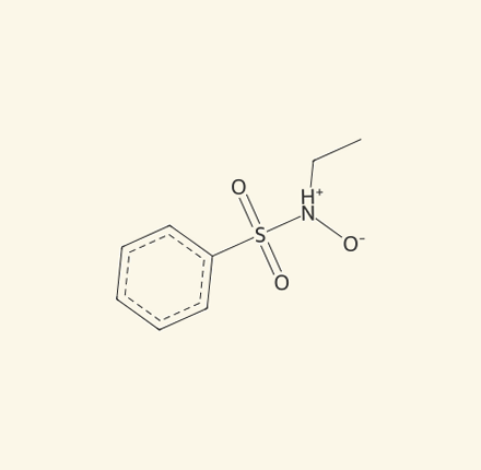 CC[NH+]([O-])S(=O)(=O)c1ccccc1